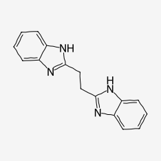 c1ccc2[nH]c(CCc3nc4ccccc4[nH]3)nc2c1